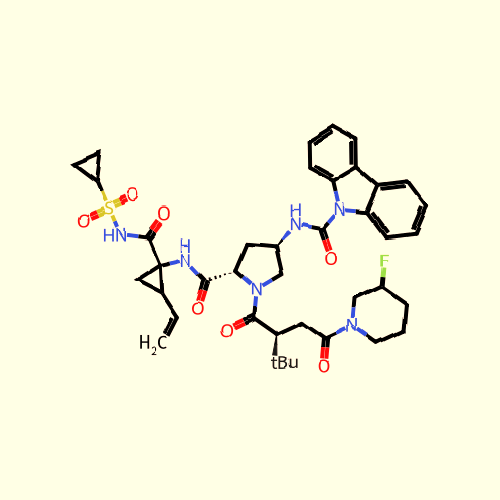 C=CC1CC1(NC(=O)[C@@H]1C[C@@H](NC(=O)n2c3ccccc3c3ccccc32)CN1C(=O)[C@@H](CC(=O)N1CCCC(F)C1)C(C)(C)C)C(=O)NS(=O)(=O)C1CC1